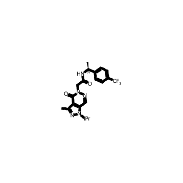 Cc1nn(C(C)C)c2cnn(CC(=O)N[C@@H](C)c3ccc(C(F)(F)F)cc3)c(=O)c12